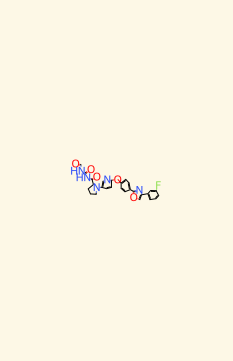 O=CNC(=O)NC(=O)C1CCCN1c1ccc(Oc2ccc(-c3nc(-c4cccc(F)c4)co3)cc2)nc1